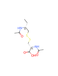 CC[C@H](CSSC[C@H](NC(C)=O)C(=O)O)NC(C)=O